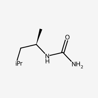 CC(C)C[C@@H](C)NC(N)=O